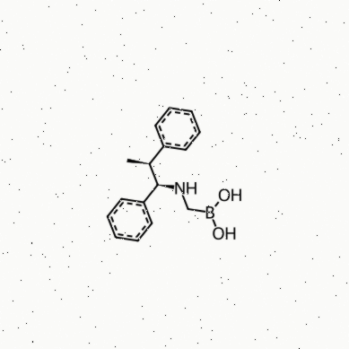 C[C@@H](c1ccccc1)[C@@H](NCB(O)O)c1ccccc1